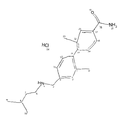 Cc1cc(CNCCC(C)C)ccc1-c1ccc(C(N)=O)cc1C.Cl